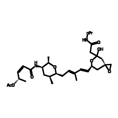 CCCNC(=O)CC1(O)C[C@@]2(CO2)C[C@@H](/C=C/C(C)=C/C[C@@H]2O[C@H](C)[C@H](NC(=O)/C=C\[C@H](C)OC(C)=O)C[C@@H]2C)O1